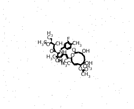 CC[C@H](OC)[C@@H](C)[C@H]1O[C@@H]1C(NCc1ccc(C)c(F)c1)C(C)(O)/C=C/C=C(\C)[C@H]1OC(=O)C[C@H](O)CC[C@@](C)(O)[C@@H](OC(C)=O)/C=C/[C@@H]1C